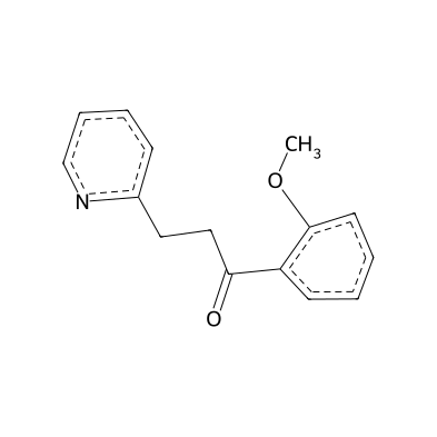 COc1ccccc1C(=O)CCc1ccccn1